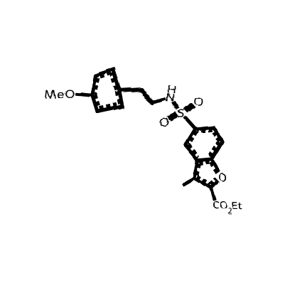 CCOC(=O)c1oc2ccc(S(=O)(=O)NCCc3ccc(OC)cc3)cc2c1C